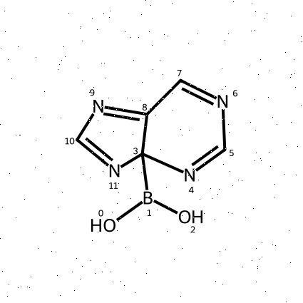 OB(O)C12N=CN=CC1=NC=N2